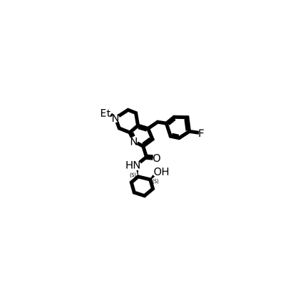 CCN1CCc2c(Cc3ccc(F)cc3)cc(C(=O)N[C@H]3CCCC[C@@H]3O)nc2C1